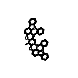 Cc1c2c(cc3c1Oc1ccc4c5c1N3c1ccccc1B5c1ccccc1-4)B1c3ccccc3-n3c4ccccc4c4ccc(c1c43)O2